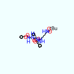 CC(C)(C)OC(=O)NCCCCCCCC(=O)N[C@@H](Cc1ccccc1)C(=O)N[C@@H](Cc1ccccc1)C(=O)NCCNC(=O)OCc1ccccc1